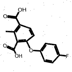 Cc1c(C(=O)O)ccc(Oc2ccc(F)cc2)c1C(=O)O